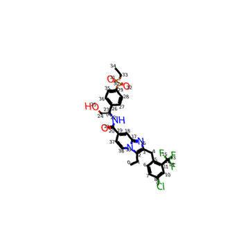 CCc1c(Cc2ccc(Cl)cc2C(F)(F)F)nc2cc(C(=O)N[C@@H](CO)c3ccc(S(=O)(=O)CC)cc3)ccn12